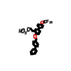 O=C(O)CCc1cc(-c2ccc(OC(F)(F)F)cc2)ccc1OCc1ccc(-c2ccccc2)cc1